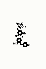 CC(C)(Oc1cc(Br)c(Oc2ccc(O)c(Cc3ccc(F)cc3)c2)c(Br)c1)P(=O)(O)O